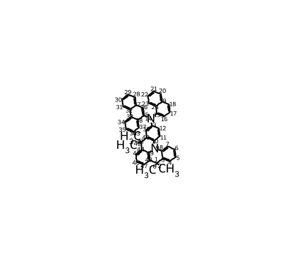 CC1(C)c2ccccc2N2c3ccc(N(c4cccc5ccccc45)c4cc5ccccc5c5ccccc45)cc3C(C)(C)c3cccc1c32